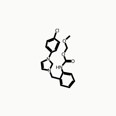 COCOC(=O)Nc1ccccc1CN1C=CN(c2ccc(Cl)cc2)C1